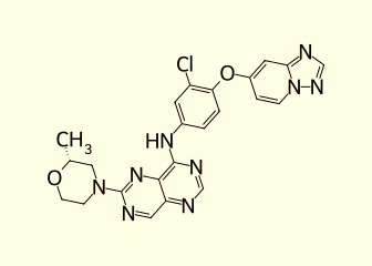 C[C@@H]1CN(c2ncc3ncnc(Nc4ccc(Oc5ccn6ncnc6c5)c(Cl)c4)c3n2)CCO1